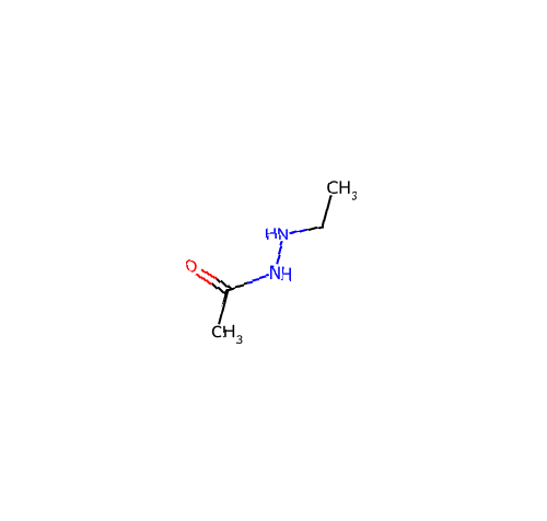 CCNNC(C)=O